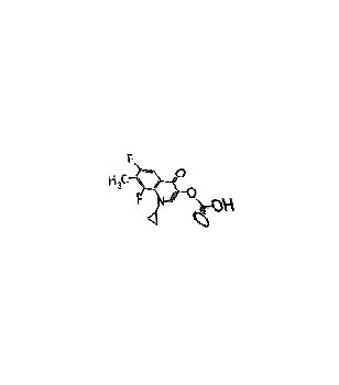 Cc1c(F)cc2c(=O)c(OC(=O)O)cn(C3CC3)c2c1F